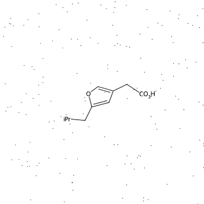 CC(C)Cc1cc(CC(=O)O)co1